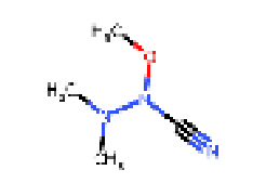 CON(C#N)N(C)C